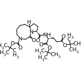 CC(C)(C)OC(=O)CC[C@H](NC(=O)[C@@H]1CC[C@H]2CCCCN(C(=O)OC(C)(C)C)CC(=O)N21)C(=O)OC(C)(C)C